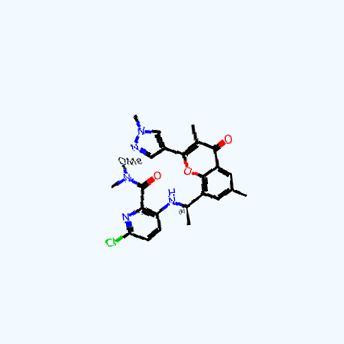 CON(C)C(=O)c1nc(Cl)ccc1N[C@H](C)c1cc(C)cc2c(=O)c(C)c(-c3cnn(C)c3)oc12